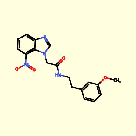 COc1cccc(CCNC(=O)Cn2cnc3cccc([N+](=O)[O-])c32)c1